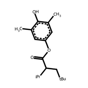 Cc1cc(OC(=O)C(CC(C)(C)C)C(C)C)cc(C)c1O